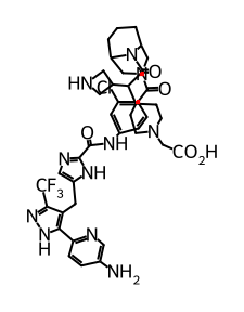 Nc1ccc(-c2[nH]nc(C(F)(F)F)c2Cc2cnc(C(=O)Nc3ccc(C(=O)N4CC5CCCC(C4)N5C(=O)C(C4CCN(CC(=O)O)CC4)C4CNC4)c(Cl)c3)[nH]2)nc1